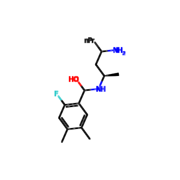 CCCC(N)C[C@@H](C)NC(O)c1cc(C)c(C)cc1F